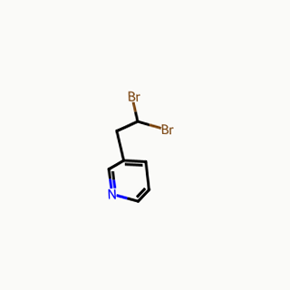 BrC(Br)Cc1cccnc1